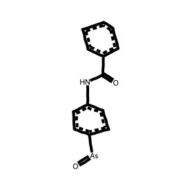 O=[As]c1ccc(NC(=O)c2ccccc2)cc1